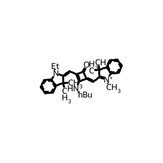 CCCCNC1=C(C=C2N(CC)c3ccccc3C2(C)C)C(=O)C1=CC1=[N+](C)c2ccccc2C1(C)C